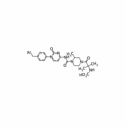 CC(=O)Cc1ccc(-n2ccc(NC(=O)N3CCN(C(=O)C(C)(C)NC(=O)O)CC3C)nc2=O)cc1